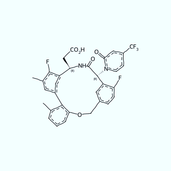 Cc1cc2cc(c1F)[C@@H](CC(=O)O)NC(=O)[C@H](n1ccc(C(F)(F)F)cc1=O)c1cc(ccc1F)COc1cccc(C)c1-2